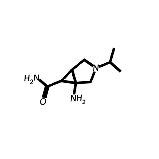 CC(C)N1CC2C(C(N)=O)C2(N)C1